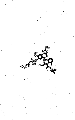 CC(C)Oc1cc(-n2nc(C(C)(C)C)oc2=O)c(Cl)cc1Cl.CCc1cccc(C)c1N(C(=O)CCl)C(C)COC.C[S+](C)C.O=C(O)CNCP(=O)([O-])O